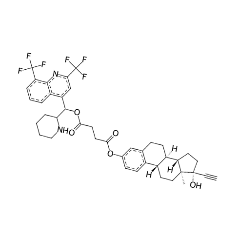 C#C[C@]1(O)CC[C@H]2[C@@H]3CCc4cc(OC(=O)CCC(=O)OC(c5cc(C(F)(F)F)nc6c(C(F)(F)F)cccc56)C5CCCCN5)ccc4[C@H]3CC[C@@]21C